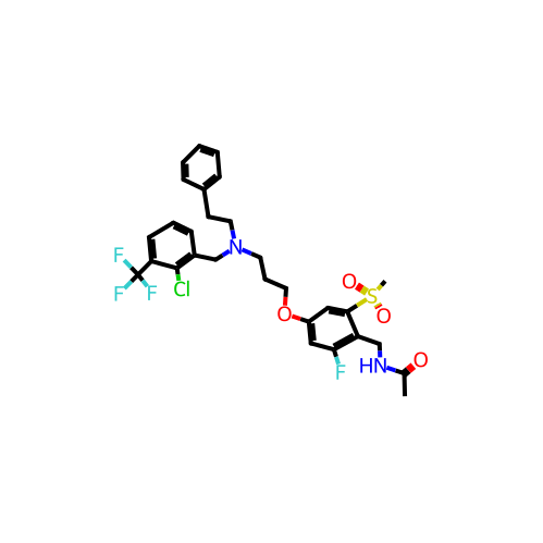 CC(=O)NCc1c(F)cc(OCCCN(CCc2ccccc2)Cc2cccc(C(F)(F)F)c2Cl)cc1S(C)(=O)=O